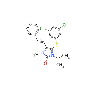 CC(C)n1c(Sc2cc(Cl)cc(Cl)c2)c(/C=C/c2ccccc2)n(C)c1=O